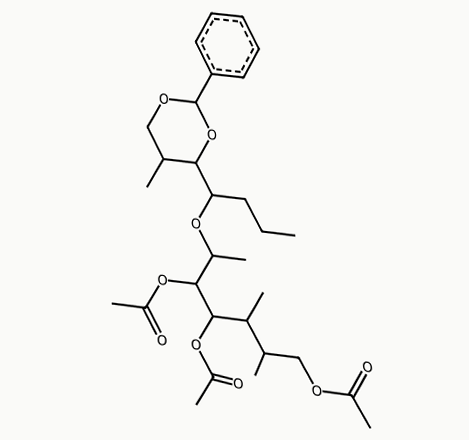 CCCC(OC(C)C(OC(C)=O)C(OC(C)=O)C(C)C(C)COC(C)=O)C1OC(c2ccccc2)OCC1C